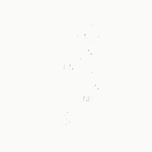 CCCCOCC(=O)Nc1cc(-c2[nH]c3c(c2Nc2ccccc2)C(=O)CCC3)ccn1